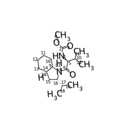 COC(=O)N[C@H](C(=O)N1[C@@H]2CCCC[C@@H]2C[C@H]1C(C)C)C(C)C